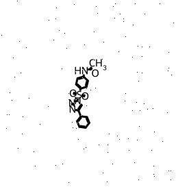 CC(=O)Nc1ccc(S(=O)(=O)n2cc(-c3ccccc3)nn2)cc1